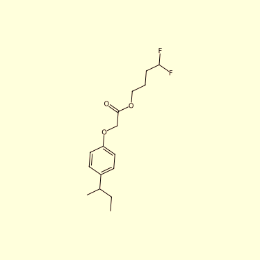 CCC(C)c1ccc(OCC(=O)OCCCC(F)F)cc1